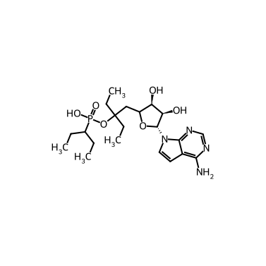 CCC(CC)P(=O)(O)OC(CC)(CC)CC1O[C@@H](n2ccc3c(N)ncnc32)[C@H](O)[C@@H]1O